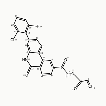 C=CC(=O)NNC(=O)c1ccc2c(=O)[nH]c3cc(-c4c(F)cccc4Cl)ccc3c2c1